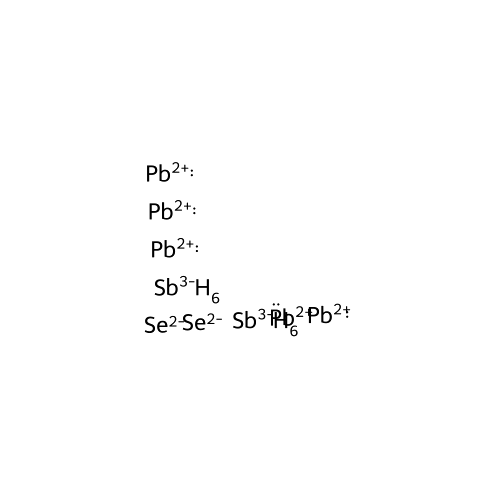 [Pb+2].[Pb+2].[Pb+2].[Pb+2].[Pb+2].[SbH6-3].[SbH6-3].[Se-2].[Se-2]